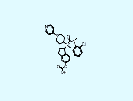 CN(C(=O)[N+](C)(C1CCN(c2ccncc2)CC1)C1CCc2cc(OC(=O)O)ccc21)c1ccccc1Cl